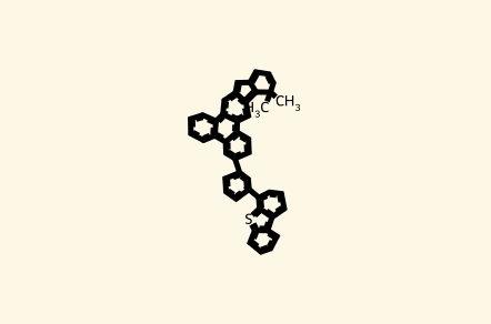 CC1(C)C=CC=C2C=c3cc4c5ccccc5c5cc(-c6cccc(-c7cccc8c7sc7ccccc78)c6)ccc5c4cc3=C21